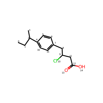 CCC(C)c1ccc(CC(Cl)CC(=O)O)cc1